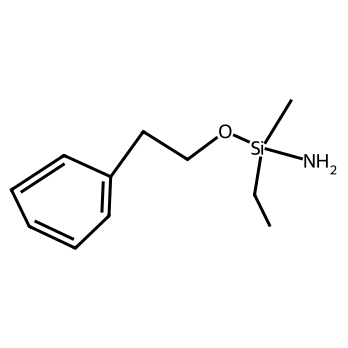 CC[Si](C)(N)OCCc1ccccc1